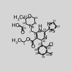 CCOC(=O)C1=C(CN2CCO[C@H](C)[C@H]2C(=O)O)NC(c2nccs2)=N[C@H]1c1cccc(F)c1Cl